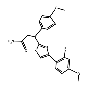 COc1ccc(C(CC(N)=O)c2nc(-c3ccc(OC)cc3F)cs2)cc1